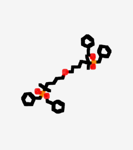 CC(C)(CCCCOCCCCC(C)(C)P(=O)(Cc1ccccc1)OCc1ccccc1)P(=O)(Cc1ccccc1)OCc1ccccc1